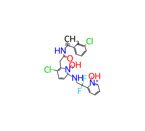 C[C@@H](NC(=O)Cc1c(Cl)ccc(NCC(F)(F)c2cccc[n+]2O)[n+]1O)c1cccc(Cl)c1